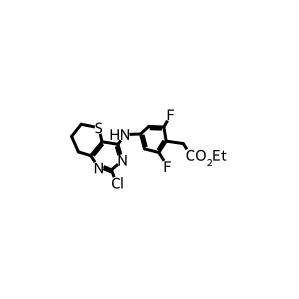 CCOC(=O)Cc1c(F)cc(Nc2nc(Cl)nc3c2SCCC3)cc1F